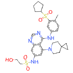 Cc1ccc(Nc2ncnc3cc(NS(=O)(=O)CCO)cc(N4CCC5(CC4)CC5)c23)cc1S(=O)(=O)C1CCCC1